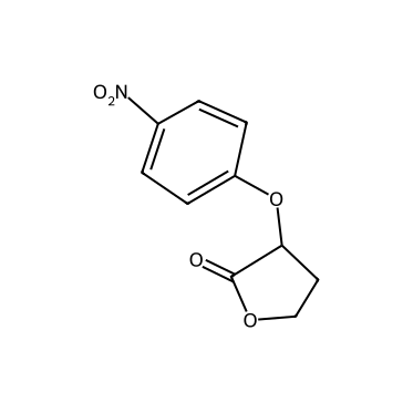 O=C1OCCC1Oc1ccc([N+](=O)[O-])cc1